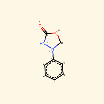 O=C1NN(c2ccccc2)CO1